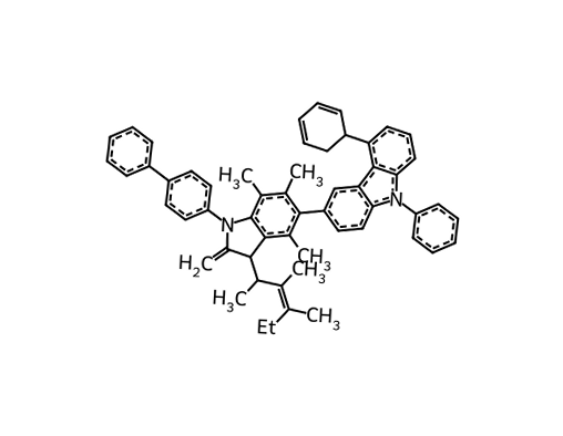 C=C1C(C(C)/C(C)=C(/C)CC)c2c(C)c(-c3ccc4c(c3)c3c(C5C=CC=CC5)cccc3n4-c3ccccc3)c(C)c(C)c2N1c1ccc(-c2ccccc2)cc1